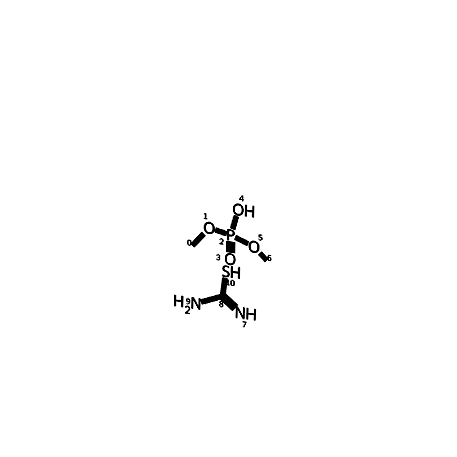 COP(=O)(O)OC.N=C(N)S